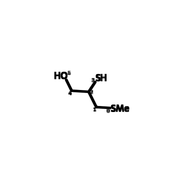 CSCC(S)CO